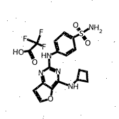 NS(=O)(=O)c1ccc(Nc2nc(NC3CCC3)c3occc3n2)cc1.O=C(O)C(F)(F)F